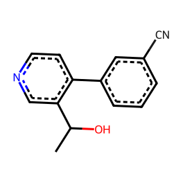 CC(O)c1cnccc1-c1cccc(C#N)c1